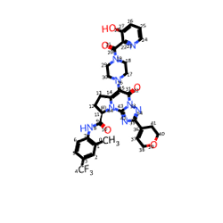 Cc1cc(C(F)(F)F)ccc1NC(=O)[C@H]1CCc2c(N3CCN(C(=O)c4ncccc4O)CC3)c(=O)n3nc(C4=CCOCC4)nc3n21